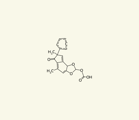 CC1=C2C(=O)C(C)(c3ccccc3)C=C2C2OC(OC(=O)O)OC2=C1